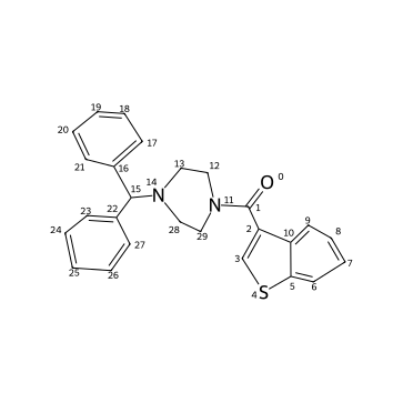 O=C(c1csc2ccccc12)N1CCN(C(c2ccccc2)c2ccccc2)CC1